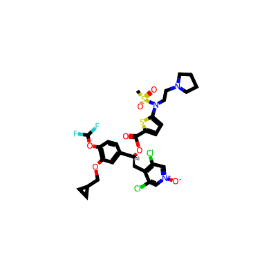 CS(=O)(=O)N(CCN1CCCC1)c1ccc(C(=O)O[C@@H](Cc2c(Cl)c[n+]([O-])cc2Cl)c2ccc(OC(F)F)c(OCC3CC3)c2)s1